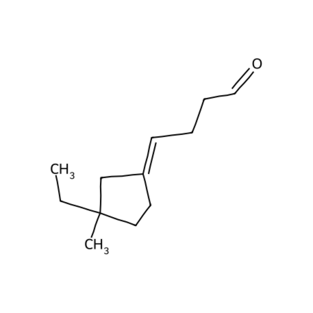 CCC1(C)CC/C(=C\CCC=O)C1